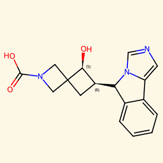 O=C(O)N1CC2(C[C@H](C3c4ccccc4-c4cncn43)[C@@H]2O)C1